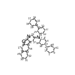 c1ccc(-c2ccc(N(c3cccc(-c4ccccc4)c3)c3cnc4oc5cc6ccccc6cc5c4c3)cc2)cc1